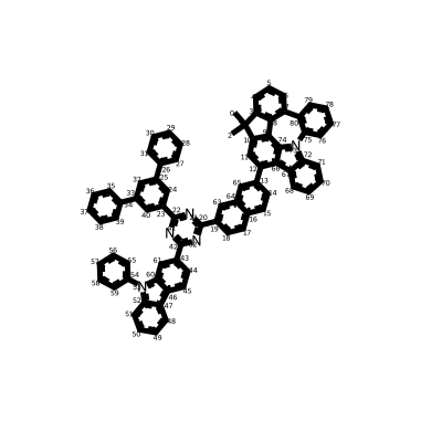 CC1(C)c2cccc3c2-c2c1cc(-c1ccc4ccc(-c5nc(-c6cc(-c7ccccc7)cc(-c7ccccc7)c6)nc(-c6ccc7c8ccccc8n(-c8ccccc8)c7c6)n5)cc4c1)c1c4ccccc4n(c21)-c1ccccc1-3